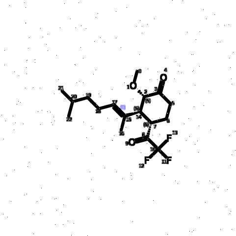 CO[C@@H]1C(=O)CC[C@H](C(=O)C(F)(F)F)[C@H]1/C(C)=C/CCC(C)C